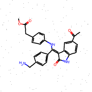 COC(=O)Cc1ccc(NC(=C2C(=O)Nc3ccc(C(C)=O)cc32)c2ccc(CN)cc2)cc1